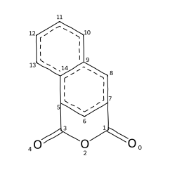 O=C1OC(=O)c2cc1cc1ccccc21